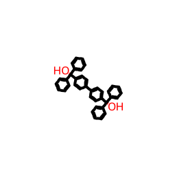 OC(c1ccccc1)(c1ccccc1)c1ccc(-c2ccc(C(O)(c3ccccc3)c3ccccc3)cc2)cc1